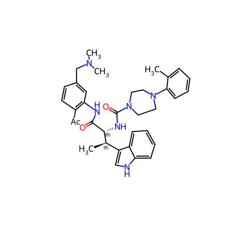 CC(=O)c1ccc(CN(C)C)cc1NC(=O)[C@H](NC(=O)N1CCN(c2ccccc2C)CC1)[C@H](C)c1c[nH]c2ccccc12